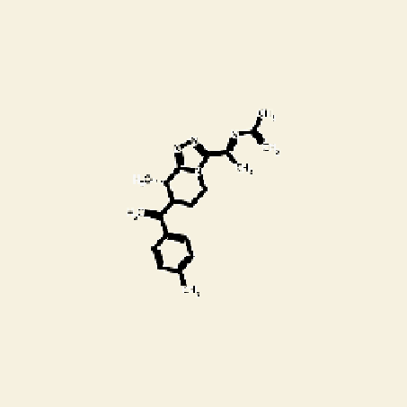 C=C(C)/N=C(\C)c1nnc2n1CCC(C(=C)c1ccc(C)cc1)[C@@H]2C